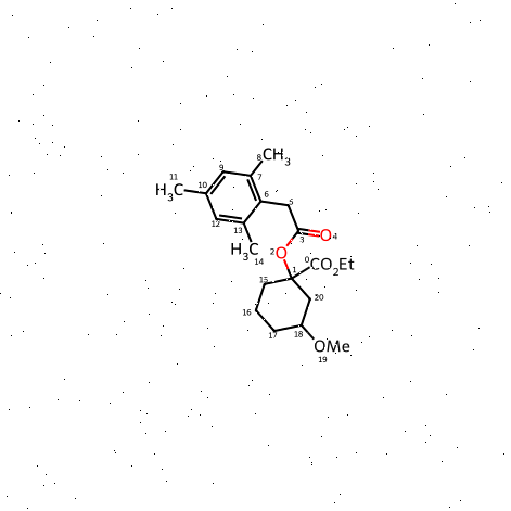 CCOC(=O)C1(OC(=O)Cc2c(C)cc(C)cc2C)CCCC(OC)C1